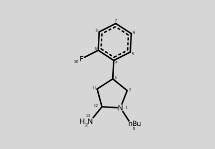 CCCCN1CC(c2ccccc2F)CC1N